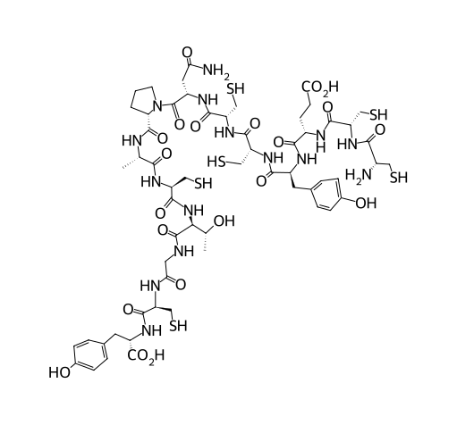 C[C@H](NC(=O)[C@@H]1CCCN1C(=O)[C@H](CC(N)=O)NC(=O)[C@H](CS)NC(=O)[C@@H](CS)NC(=O)[C@H](Cc1ccc(O)cc1)NC(=O)[C@H](CCC(=O)O)NC(=O)[C@H](CS)NC(=O)[C@@H](N)CS)C(=O)N[C@@H](CS)C(=O)N[C@H](C(=O)NCC(=O)N[C@@H](CS)C(=O)N[C@@H](Cc1ccc(O)cc1)C(=O)O)[C@@H](C)O